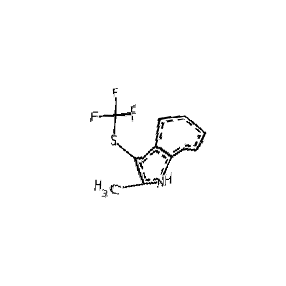 Cc1[nH]c2ccccc2c1SC(F)(F)F